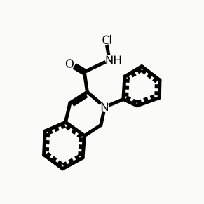 O=C(NCl)C1=Cc2ccccc2CN1c1ccccc1